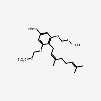 CCCCCc1cc(OCOC(=O)OCC)c(CC=C(C)CCC=C(C)C)c(OCOC(=O)OCC)c1